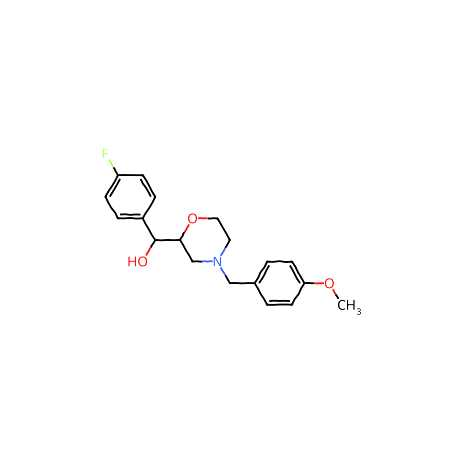 COc1ccc(CN2CCOC(C(O)c3ccc(F)cc3)C2)cc1